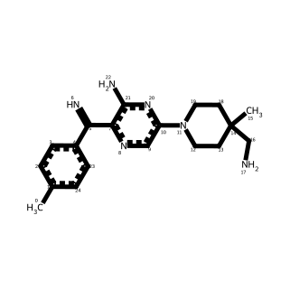 Cc1ccc(C(=N)c2ncc(N3CCC(C)(CN)CC3)nc2N)cc1